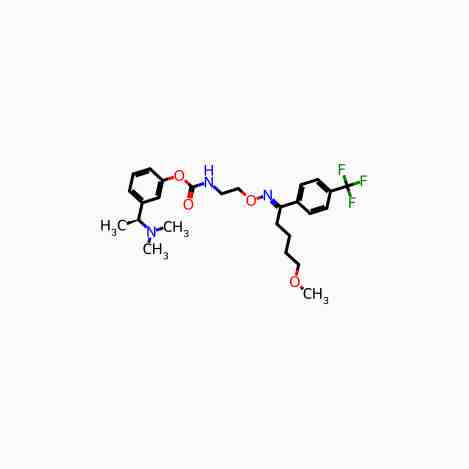 COCCCC/C(=N\OCCNC(=O)Oc1cccc([C@H](C)N(C)C)c1)c1ccc(C(F)(F)F)cc1